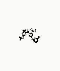 C=C(C)OC(=O)N[C@H](C(=O)N1C[C@H](Oc2cccc(Br)n2)C[C@H]1C(=O)OC)C(C)(C)C